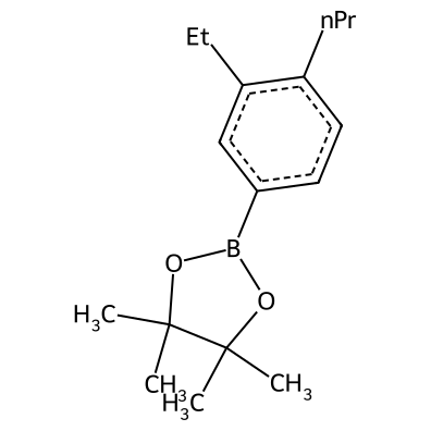 CCCc1ccc(B2OC(C)(C)C(C)(C)O2)cc1CC